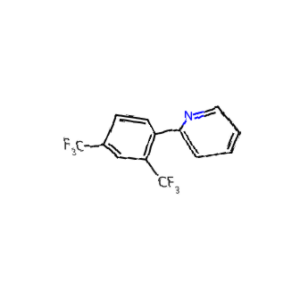 FC(F)(F)c1ccc(-c2ccccn2)c(C(F)(F)F)c1